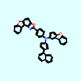 c1ccc2c(-c3ccc(N(c4ccc(-c5nc6c(ccc7oc8ccccc8c76)o5)cc4)c4ccc5oc6ccccc6c5c4)cc3)cccc2c1